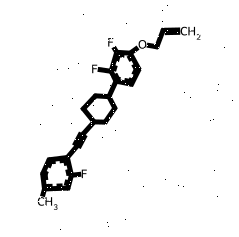 C=CCOc1ccc(C2CCC(C#Cc3ccc(C)cc3F)CC2)c(F)c1F